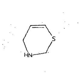 [CH]1NCC=CS1